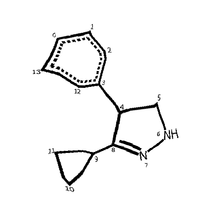 c1ccc(C2CNN=C2C2CC2)cc1